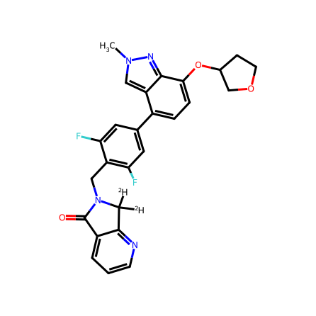 [2H]C1([2H])c2ncccc2C(=O)N1Cc1c(F)cc(-c2ccc(OC3CCOC3)c3nn(C)cc23)cc1F